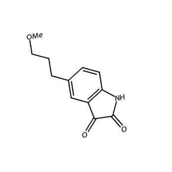 COCCCc1ccc2c(c1)C(=O)C(=O)N2